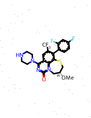 CO[C@H]1CSc2c(-c3ccc(F)cc3F)c(C(F)(F)F)cc3c(N4CCNCC4)nc(=O)n(c23)C1